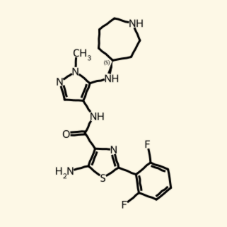 Cn1ncc(NC(=O)c2nc(-c3c(F)cccc3F)sc2N)c1N[C@H]1CCCNCC1